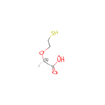 C[C@H](OCCS)C(=O)O